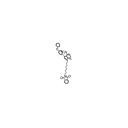 Nc1ncnc2c1c(-c1ccc(Oc3ccccc3)cc1)cn2CCCCCCCCN1C(=O)c2ccccc2C1=O